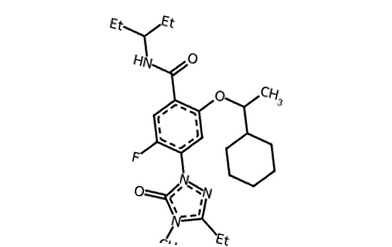 CCc1nn(-c2cc(OC(C)C3CCCCC3)c(C(=O)NC(CC)CC)cc2F)c(=O)n1C